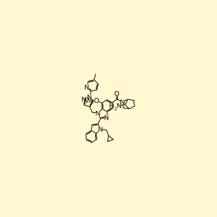 COc1cc(C(=O)N2CC3CCC2C3N)cc2nc(-c3cc4ccccc4n3CC3CC3)n(Cc3cnn(-c4ccc(C)cn4)c3)c12